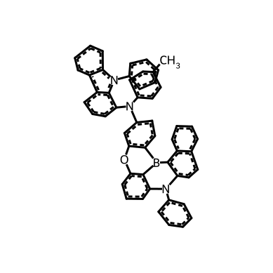 Cc1ccc(N(c2ccc3c(c2)Oc2cccc4c2B3c2c(ccc3ccccc23)N4c2ccccc2)c2cccc3c4ccccc4n(-c4ccccc4)c23)cc1